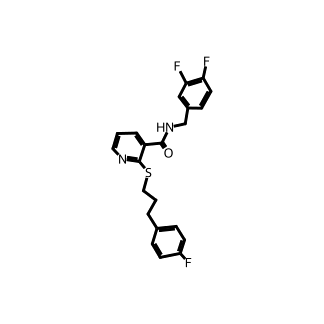 O=C(NCc1ccc(F)c(F)c1)c1cccnc1SCCCc1ccc(F)cc1